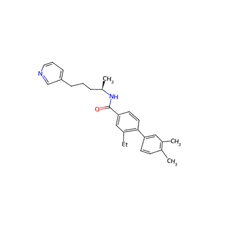 CCc1cc(C(=O)N[C@H](C)CCCc2cccnc2)ccc1-c1ccc(C)c(C)c1